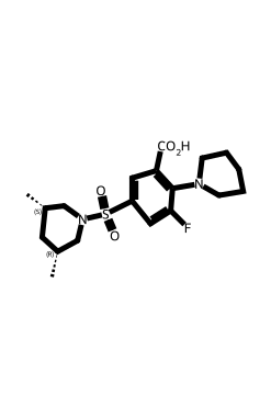 C[C@@H]1C[C@H](C)CN(S(=O)(=O)c2cc(F)c(N3CCCCC3)c(C(=O)O)c2)C1